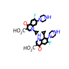 O=C(O)c1c[nH]c2c(C3CC3)c(N3CCNCC3)c(F)cc2c1=O.O=C(O)c1cn(C2CC2)c2cc(N3CCNCC3)c(F)cc2c1=O